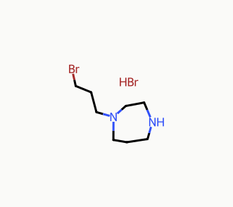 Br.BrCCCN1CCCNCC1